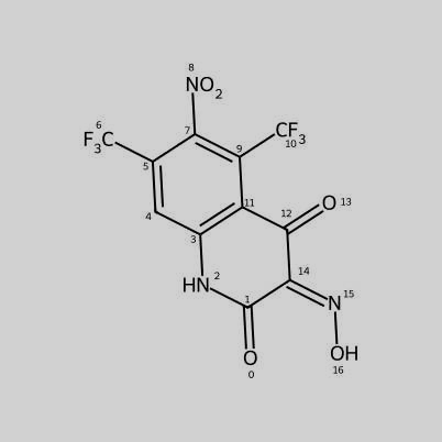 O=C1Nc2cc(C(F)(F)F)c([N+](=O)[O-])c(C(F)(F)F)c2C(=O)C1=NO